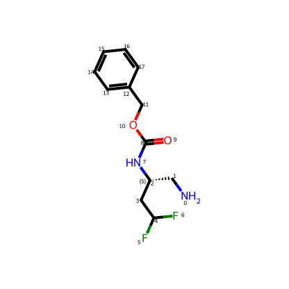 NC[C@H](CC(F)F)NC(=O)OCc1ccccc1